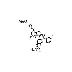 COCCOCCOc1ccc2c(c1OC(F)F)-c1ccc(CS(N)(=O)=O)cc1C(c1cccc(F)c1)O2